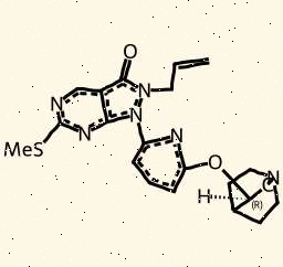 C=CCn1c(=O)c2cnc(SC)nc2n1-c1cccc(O[C@H]2CN3CCC2CC3)n1